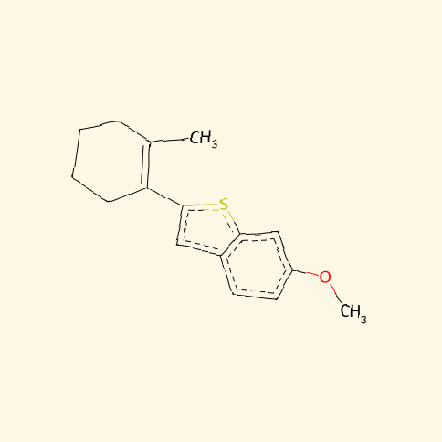 COc1ccc2cc(C3=C(C)CCCC3)sc2c1